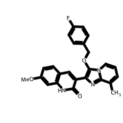 COc1ccc2cc(-c3nc4c(C)cccn4c3OCc3ccc(F)cc3)c(=O)[nH]c2c1